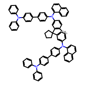 Cc1ccc(N(c2ccc(-c3ccc(N(c4ccccc4)c4ccccc4)cc3)cc2)c2cccc3ccccc23)cc1C1(c2cccc(N(c3ccc(-c4ccc(N(c5ccccc5)c5ccccc5)cc4)cc3)c3cccc4ccccc34)c2)CCCC1